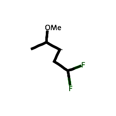 COC(C)[CH]CC(F)F